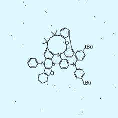 CC(C)(C)c1ccc(N(c2ccc(C(C)(C)C)cc2)c2ccc3c(c2)N2c4cc(cc5c4B3c3oc4c(c3N5c3ccccc3)CCCC4)C(C)(C)CC(C)(C)c3cccc4c3oc3c2cccc34)cc1